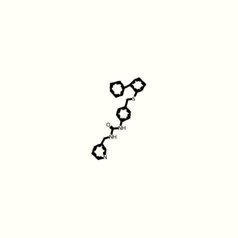 O=C(NCc1cccnc1)Nc1ccc(CSc2ccccc2-c2ccccc2)cc1